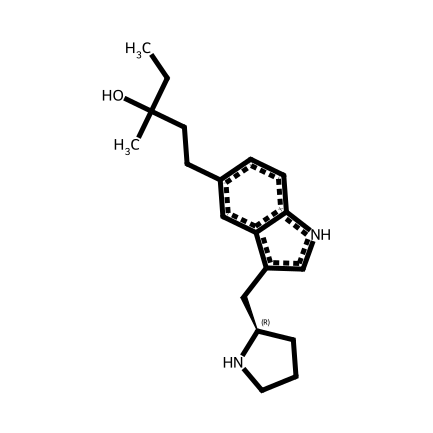 CCC(C)(O)CCc1ccc2[nH]cc(C[C@H]3CCCN3)c2c1